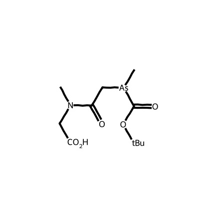 CN(CC(=O)O)C(=O)C[As](C)C(=O)OC(C)(C)C